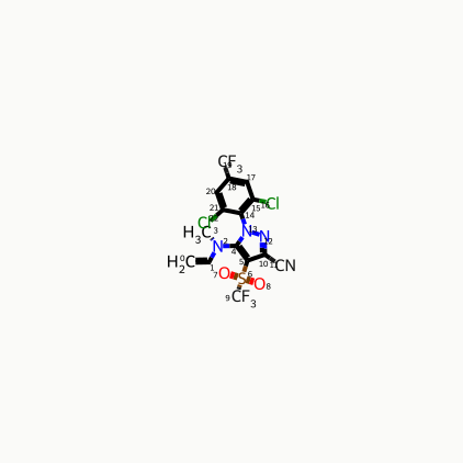 C=CN(C)c1c(S(=O)(=O)C(F)(F)F)c(C#N)nn1-c1c(Cl)cc(C(F)(F)F)cc1Cl